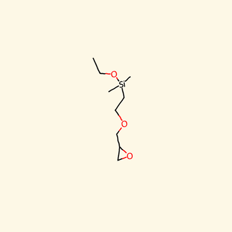 CCO[Si](C)(C)CCOCC1CO1